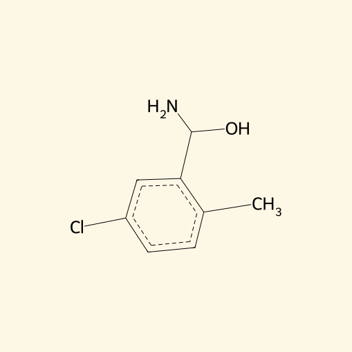 Cc1ccc(Cl)cc1C(N)O